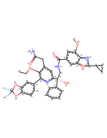 CCOc1c(CC(N)=O)cc([C@@](O)(CNC(=O)c2cc(OC)c3nc(C4CC4)oc3c2)c2ccccc2)nc1-c1ccc2c(c1)OC(F)(F)O2